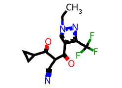 CCn1cc(C(=O)C(C#N)C(=O)C2CC2)c(C(F)(F)F)n1